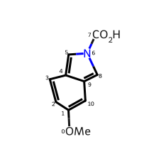 COc1ccc2cn(C(=O)O)cc2c1